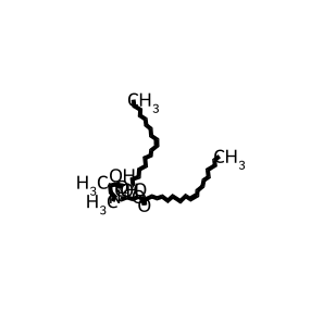 CCCCCCCC/C=C\CCCCCCCC(=O)OCC(C[N+](C)(C)CC(C)C(=O)O)OC(=O)CCCCCCC/C=C\CCCCCCCC